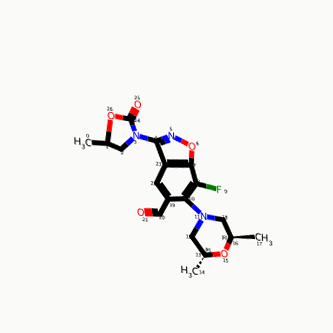 CC1CN(c2noc3c(F)c(N4C[C@@H](C)O[C@H](C)C4)c(C=O)cc23)C(=O)O1